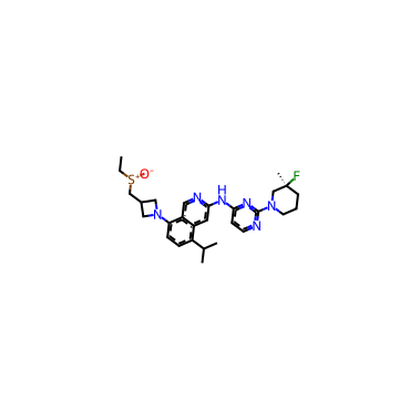 CC[S+]([O-])CC1CN(c2ccc(C(C)C)c3cc(Nc4ccnc(N5CCC[C@](C)(F)C5)n4)ncc23)C1